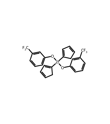 FC(F)(F)c1cccc([O][Zr]([O]c2cccc(C(F)(F)F)c2)([C]2=CC=CC2)[C]2=CC=CC2)c1